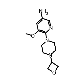 COc1cc(N)cnc1N1CCN(C2COC2)CC1